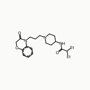 CCC(CC)C(=O)NC1CCN(CCCN2C(=O)COc3ccccc32)CC1